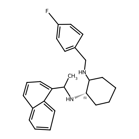 CC(N[C@H]1CCCCC1NCc1ccc(F)cc1)c1cccc2ccccc12